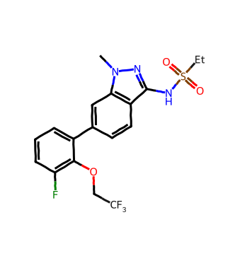 CCS(=O)(=O)Nc1nn(C)c2cc(-c3cccc(F)c3OCC(F)(F)F)ccc12